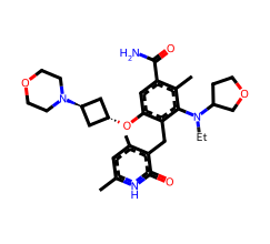 CCN(c1c(C)c(C(N)=O)cc(O[C@H]2C[C@H](N3CCOCC3)C2)c1Cc1c(C)cc(C)[nH]c1=O)C1CCOC1